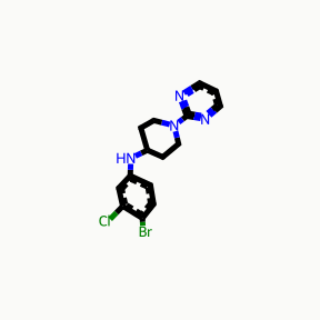 Clc1cc(NC2CCN(c3ncccn3)CC2)ccc1Br